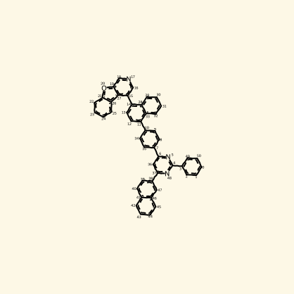 c1ccc(-c2nc(-c3ccc(-c4ccc(-c5cncc6oc7ccccc7c56)c5ccccc45)cc3)cc(-c3ccc4ccccc4c3)n2)cc1